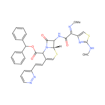 CON=C(C(=O)NC1C(=O)N2C(C(=O)OC(c3ccccc3)c3ccccc3)C(C=Cc3cccnn3)=CS[C@@H]12)c1csc(NC=O)n1